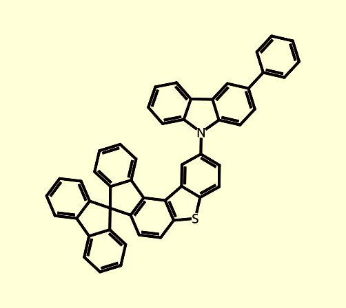 c1ccc(-c2ccc3c(c2)c2ccccc2n3-c2ccc3sc4ccc5c(c4c3c2)-c2ccccc2C52c3ccccc3-c3ccccc32)cc1